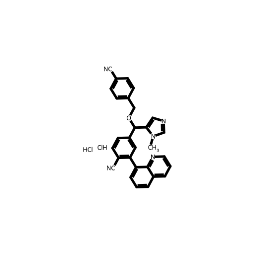 Cl.Cl.Cn1cncc1C(OCc1ccc(C#N)cc1)c1ccc(C#N)c(-c2cccc3cccnc23)c1